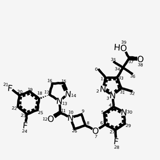 Cc1nn(-c2cc(OC3CN(C(=O)N4N=CC[C@H]4c4cc(F)cc(F)c4)C3)c(F)cn2)c(C)c1C(C)(C)C(=O)O